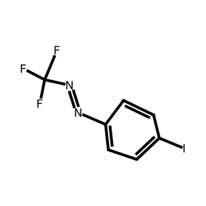 FC(F)(F)N=Nc1ccc(I)cc1